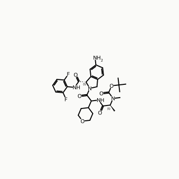 C[C@@H](C(=O)NC(C(=O)N1Cc2ccc(N)cc2[C@H]1C(=O)Nc1c(F)cccc1F)C1CCOCC1)N(C)C(=O)OC(C)(C)C